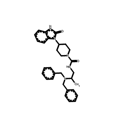 CC(CNC(=O)N1CCC(n2c(=O)[nH]c3ccccc32)CC1)N(Cc1ccccc1)Cc1ccccc1